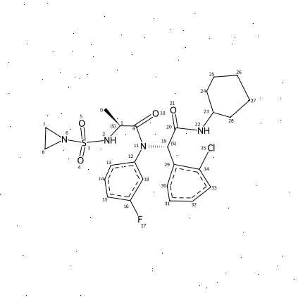 C[C@H](NS(=O)(=O)N1CC1)C(=O)N(c1cccc(F)c1)[C@H](C(=O)NC1CCCCC1)c1ccccc1Cl